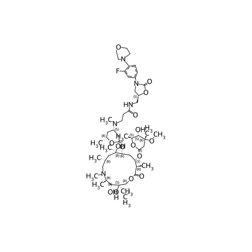 CC[C@H]1OC(=O)[C@H](C)[C@@H](O[C@H]2C[C@@](C)(OC)[C@@H](O)[C@H](C)O2)C[C@@H](O[C@H]2C[C@@H](N(C)CCC(=O)NC[C@H]3CN(c4ccc(N5CCOCC5)c(F)c4)C(=O)O3)C[C@@H](C)O2)[C@](C)(O)C[C@@H](C)CN(C)[C@H](C)[C@@H](O)[C@]1(C)O